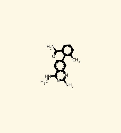 CNc1nc(N)nc2cc(-c3c(C)cccc3C(N)=O)ccc12